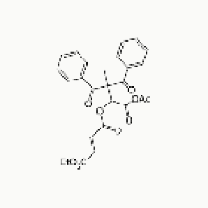 CCOC(=O)C=CC(=O)OC(C(=O)OC(C)=O)C(C)(C(=O)c1ccccc1)C(=O)c1ccccc1